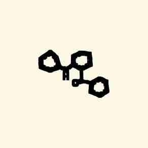 O=C(c1ccccc1)c1ccccc1Nc1ccccc1